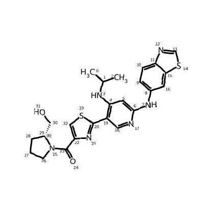 CC(C)Nc1cc(Nc2ccc3ncsc3c2)ncc1-c1nc(C(=O)N2CCC[C@@H]2CO)cs1